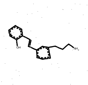 NCCCc1cccc(C=Cc2ccccc2O)c1